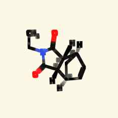 CCN1C(=O)[C@@H]2[C@H](C1=O)[C@H]1C=C[C@@H]2C1